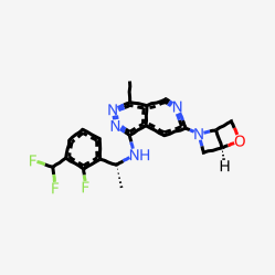 Cc1nnc(N[C@H](C)c2cccc(C(F)F)c2F)c2cc(N3C[C@@H]4OCC43)ncc12